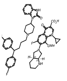 COc1c(N2C[C@@H]3CCCN[C@@H]3C2)c(F)cc2c(=O)c(C(=O)O)cn(C3CC3)c12.O=c1[nH]c2ccccc2n1C1CCN(CCCC(c2ccc(F)cc2)c2ccc(F)cc2)CC1